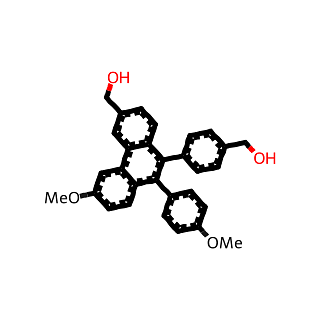 COc1ccc(-c2c(-c3ccc(CO)cc3)c3ccc(CO)cc3c3cc(OC)ccc23)cc1